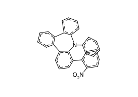 O=[N+]([O-])c1ccccc1-c1cccc2c1N(c1ccccc1)c1ccccc1-c1ccccc1-2